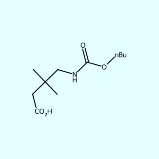 CCCCOC(=O)NCC(C)(C)CC(=O)O